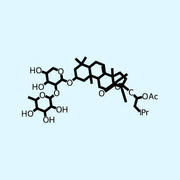 CC(=O)OC(CC(C)C)CC1(C)OC(=O)C23CCC4C(=CCC5C(C)(C)CC(OC6OCC(O)C(O)C6OC6OC(C)C(O)C(O)C6O)CC45C)C2(C)CCC13